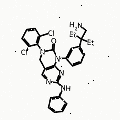 CCC(CC)(CN)c1cccc(N2C(=O)N(c3c(Cl)cccc3Cl)Cc3cnc(Nc4ccccc4)nc32)c1